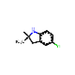 CC1(C(=O)O)Cc2cc(Cl)ccc2N1